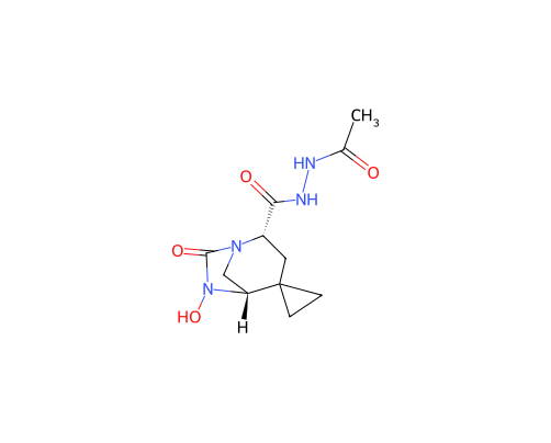 CC(=O)NNC(=O)[C@@H]1CC2(CC2)[C@H]2CN1C(=O)N2O